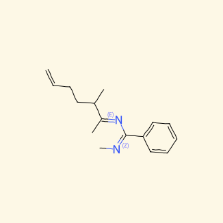 C=CCCC(C)/C(C)=N/C(=N\C)c1ccccc1